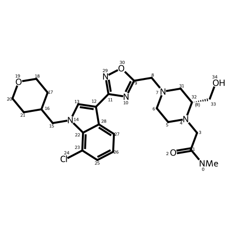 CNC(=O)CN1CCN(Cc2nc(-c3cn(CC4CCOCC4)c4c(Cl)cccc34)no2)C[C@@H]1CO